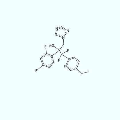 OC(Cn1cncn1)(c1ccc(F)cc1F)C(F)(F)c1ccc(CI)cn1